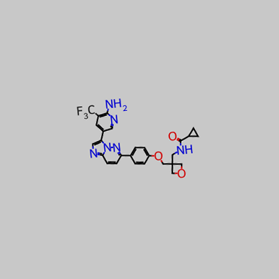 Nc1ncc(-c2cnc3ccc(-c4ccc(OCC5(CNC(=O)C6CC6)COC5)cc4)nn23)cc1C(F)(F)F